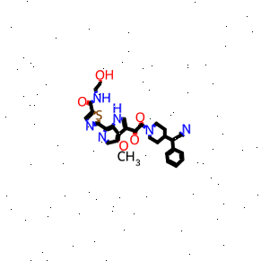 COc1cnc(-c2ncc(C(=O)NCCO)s2)c2[nH]cc(C(=O)C(=O)N3CCC(C(C#N)c4ccccc4)CC3)c12